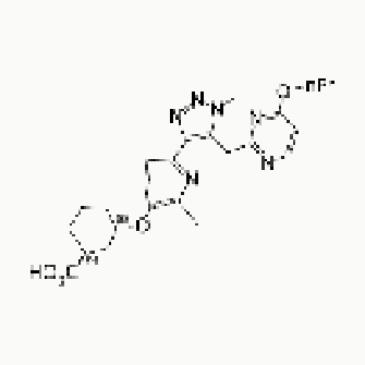 CCCOc1ccnc(Cc2c(-c3ccc(O[C@H]4CCC[C@H](C(=O)O)C4)c(C)n3)nnn2C)n1